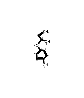 C=CC(O)Oc1ccc(O)cc1